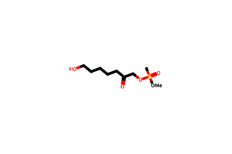 COP(C)(=O)OCC(=O)CCCCCO